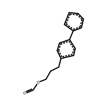 O=[C]OCCCc1ccc(-c2ccccc2)cc1